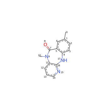 Cc1ccc2c(c1)C(=O)N(C)c1cccnc1N2